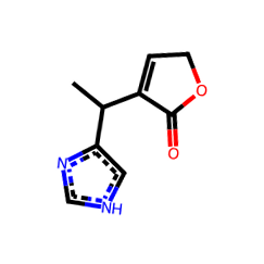 CC(C1=CCOC1=O)c1c[nH]cn1